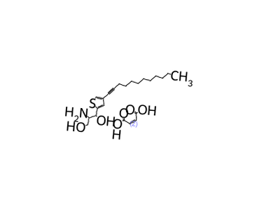 CCCCCCCCCCC#Cc1csc(C(O)C(N)CO)c1.O=C(O)/C=C\C(=O)O